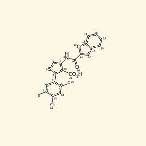 Cc1cc(-c2scc(NC(=O)c3cc4ccccc4o3)c2C(=O)O)c(F)cc1Cl